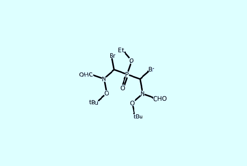 CCOP(=O)(C(Br)N(C=O)OC(C)(C)C)C(Br)N(C=O)OC(C)(C)C